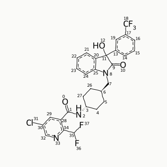 O=C(N[C@H]1CC[C@H](CN2C(=O)C(O)(c3cccc(C(F)(F)F)c3)c3ccccc32)CC1)c1cc(Cl)cnc1C(F)F